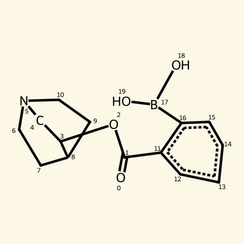 O=C(OC1CN2CCC1CC2)c1ccccc1B(O)O